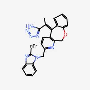 CCCc1nc2ccccc2n1Cc1ccc2c(n1)COc1ccccc1/C2=C(\C)c1nnn[nH]1